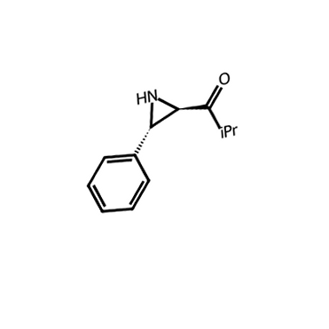 CC(C)C(=O)[C@@H]1N[C@H]1c1ccccc1